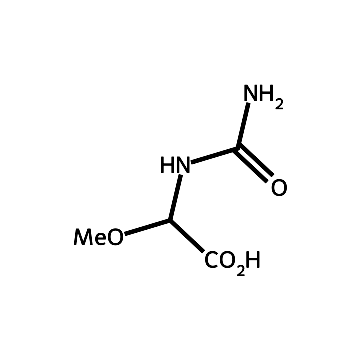 COC(NC(N)=O)C(=O)O